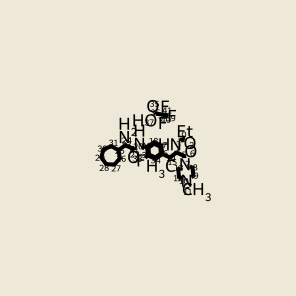 CCC(=O)NC(C(=O)N1CCN(C)CC1)C(C)c1ccc(NC(=O)C(N)C2CCCCCC2)c(F)c1.O=C(O)C(F)(F)F